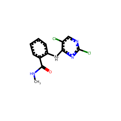 CNC(=O)c1ccccc1[AsH]c1nc(Cl)ncc1Cl